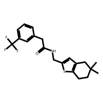 CC1(C)CCc2sc(CNC(=O)Cc3cccc(C(F)(F)F)c3)cc2C1